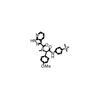 COc1ccc(C(C(=O)Nc2ccc([Si](C)(C)C)cc2)N(C)C(=O)c2n[nH]c3ncccc23)cc1